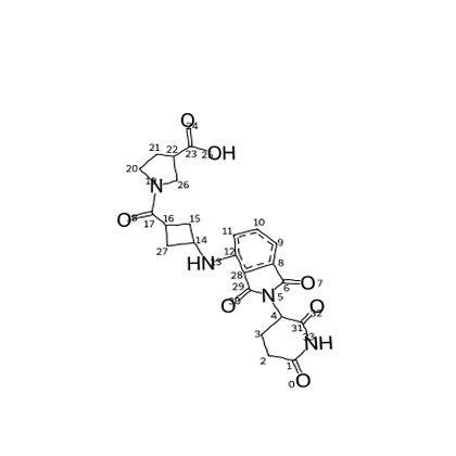 O=C1CCC(N2C(=O)c3cccc(NC4CC(C(=O)N5CCC(C(=O)O)C5)C4)c3C2=O)C(=O)N1